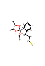 CCO[Si](OCC)(OCC)c1ccccc1CCCS